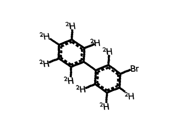 [2H]c1c([2H])c([2H])c(-c2c([2H])c([2H])c([2H])c(Br)c2[2H])c([2H])c1[2H]